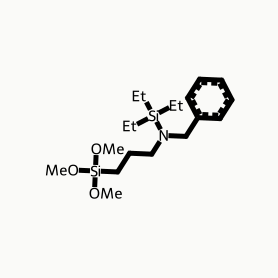 CC[Si](CC)(CC)N(CCC[Si](OC)(OC)OC)Cc1ccccc1